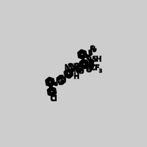 CN(C)CC[C@H](c1ccccc1)N(CS)c1ccc(S(=O)(=O)Nc2ncnc3cc(N4CCN(Cc5ccccc5-c5ccc(Cl)cc5)CC4)ccc23)cc1S(=O)(=O)C(F)(F)F